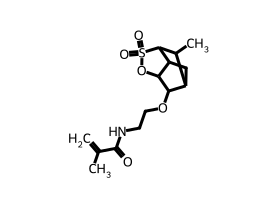 C=C(C)C(=O)NCCOC1C2CC3C1OS(=O)(=O)C3C2C